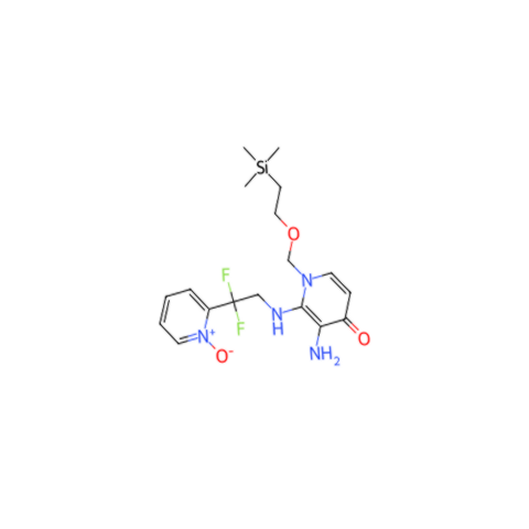 C[Si](C)(C)CCOCn1ccc(=O)c(N)c1NCC(F)(F)c1cccc[n+]1[O-]